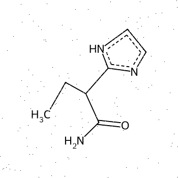 CCC(C(N)=O)c1ncc[nH]1